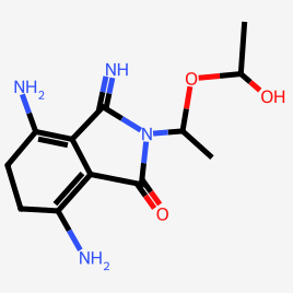 CC(O)OC(C)N1C(=N)C2=C(N)CCC(N)=C2C1=O